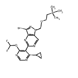 C[Si](C)(C)CCOCn1nc(Br)c2nc(-c3c(OC(F)F)ncnc3C3CC3)ncc21